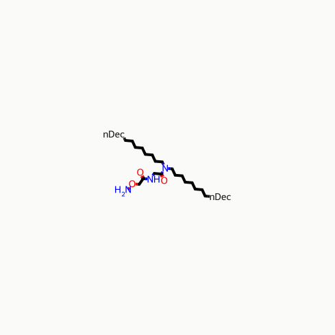 CCCCCCCCCCCCCCCCCCN(CCCCCCCCCCCCCCCCCC)C(=O)CNC(=O)CON